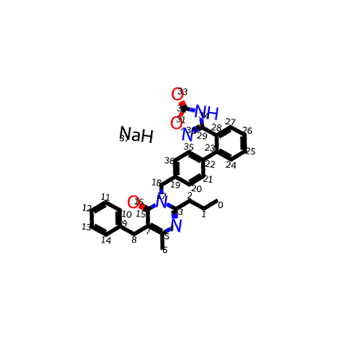 CCCc1nc(C)c(Cc2ccccc2)c(=O)n1Cc1ccc(-c2ccccc2-c2noc(=O)[nH]2)cc1.[NaH]